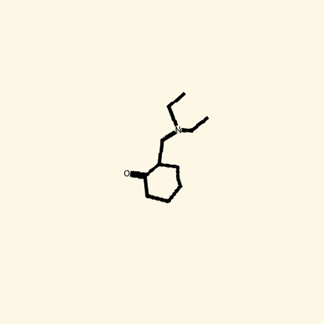 CCN(CC)CC1CCCCC1=O